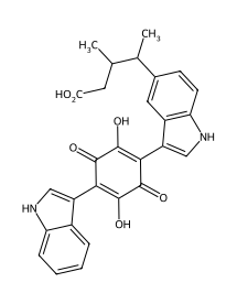 CC(CC(=O)O)C(C)c1ccc2[nH]cc(C3=C(O)C(=O)C(c4c[nH]c5ccccc45)=C(O)C3=O)c2c1